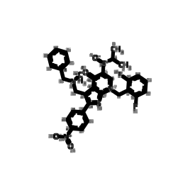 CC(C)[S+]([O-])c1cn(Cc2c(F)cccc2F)c2sc(-c3ccc([N+](=O)[O-])cc3)c(CN(C)Cc3ccccc3)c2c1=O